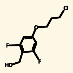 OCc1c(F)cc(OCCCCl)cc1F